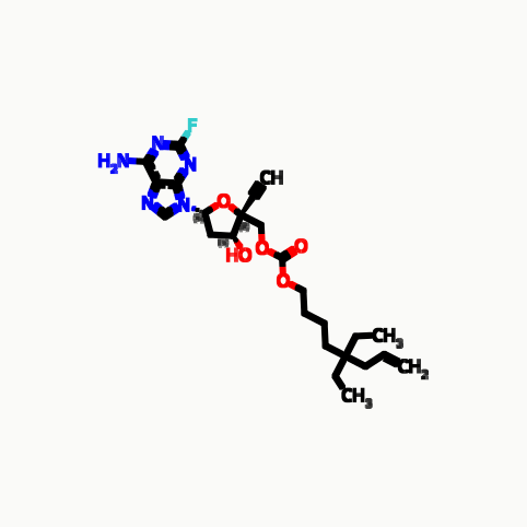 C#C[C@]1(COC(=O)OCCCCC(CC)(CC)CC=C)O[C@@H](n2cnc3c(N)nc(F)nc32)C[C@@H]1O